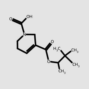 CC(OC(=O)C1=CCCN(C(=O)O)C1)C(C)(C)C